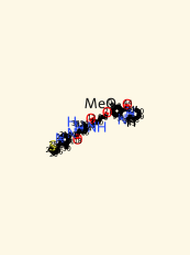 COc1cc2c(cc1OCCCC(=O)Nc1cc(C(=O)Nc3cnc(-c4cccs4)c(C)c3)n(C)c1)N=C[C@@H]1CCCCN1C2=O